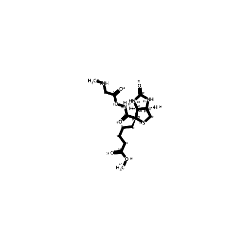 CNCC(=O)ONC(=O)[C@@]1(CCCCC(=O)OC)SC[C@@H]2NC(=O)N[C@@H]21